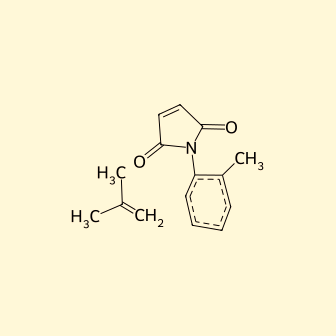 C=C(C)C.Cc1ccccc1N1C(=O)C=CC1=O